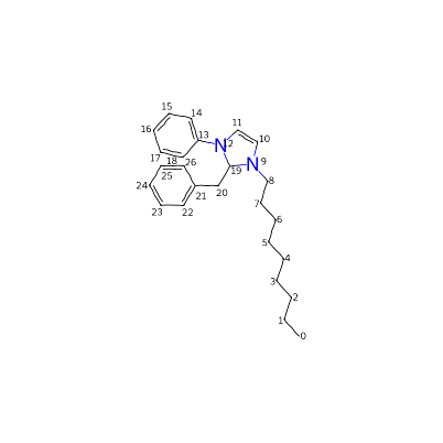 CCCCCCCCCN1C=CN(c2ccccc2)C1Cc1ccccc1